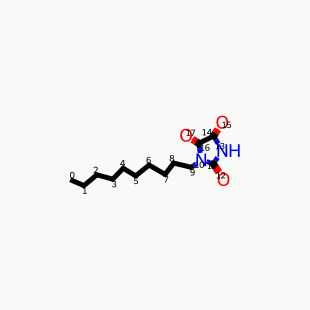 CCCCCCCCCCN1C(=O)NC(=O)C1=O